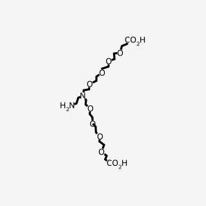 NCCN(CCOCCOCCOCCOCCC(=O)O)CCOCCOCCOCCOCCC(=O)O